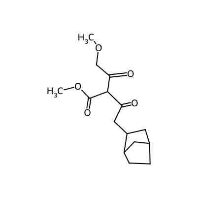 COCC(=O)C(C(=O)CC1CC2CCC1C2)C(=O)OC